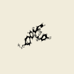 CN1CCC(C2CCN(C(=O)[C@@H](NC(=O)Nc3ccc(Cl)cc3)c3cccs3)CC2)CC1